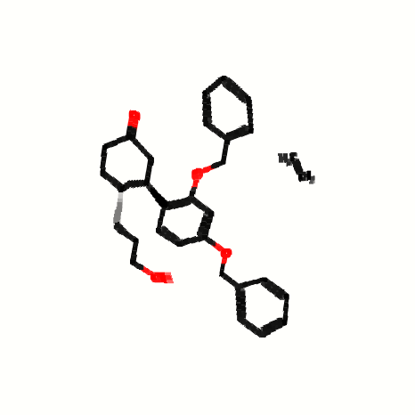 C=C.O=C1CC[C@@H](CCCO)[C@H](c2ccc(OCc3ccccc3)cc2OCc2ccccc2)C1